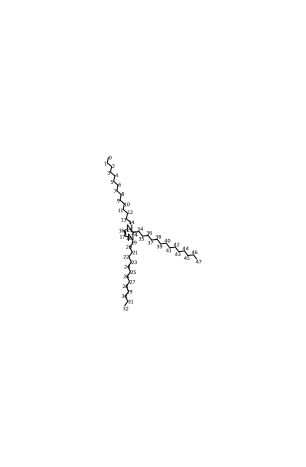 CCCCCCCCCCCCCCCn1cc[n+](CCCCCCCCCCCCCC)c1CCCCCCCCCCCCCC